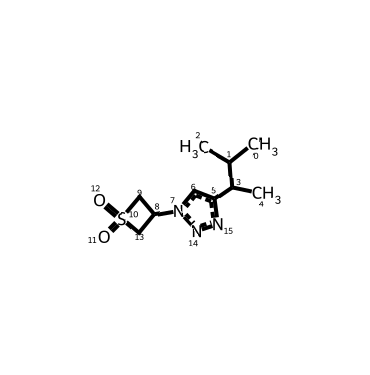 CC(C)C(C)c1cn(C2CS(=O)(=O)C2)nn1